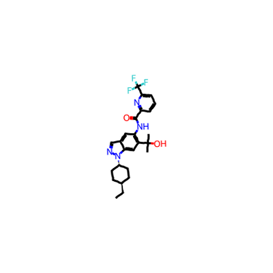 CC[C@H]1CC[C@H](n2ncc3cc(NC(=O)c4cccc(C(F)(F)F)n4)c(C(C)(C)O)cc32)CC1